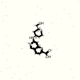 O=C(O)c1ccc2cnc(N[C@@H]3CCO[C@H](CO)C3)cc2n1